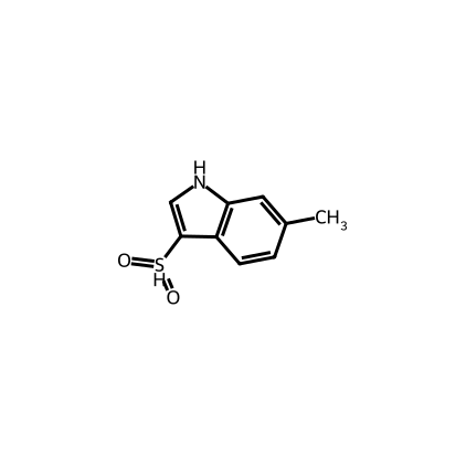 Cc1ccc2c([SH](=O)=O)c[nH]c2c1